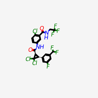 O=C(NCC(F)(F)F)c1cc(NC(=O)[C@H]2[C@H](c3cc(F)cc(C(F)F)c3)C2(Cl)Cl)ccc1Cl